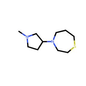 CN1CCC(N2CCCSCC2)C1